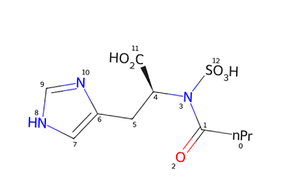 CCCC(=O)N([C@@H](Cc1c[nH]cn1)C(=O)O)S(=O)(=O)O